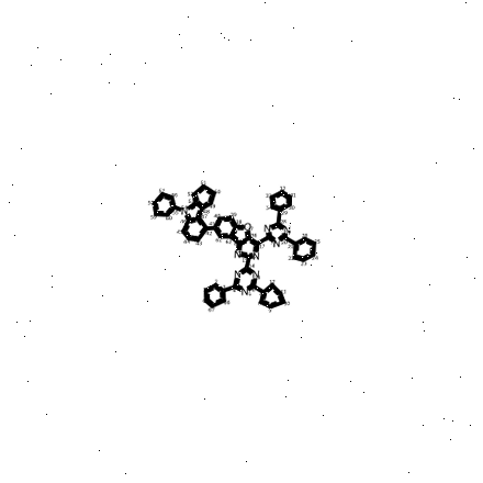 c1ccc(-c2nc(-c3ccccc3)nc(-c3nc(-c4nc(-c5ccccc5)nc(-c5ccccc5)n4)c4oc5ccc(-c6cccc7c6c6ccccc6n7-c6ccccc6)cc5c4n3)n2)cc1